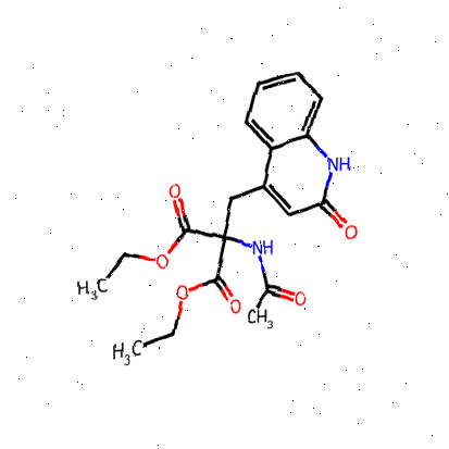 CCOC(=O)C(Cc1cc(=O)[nH]c2ccccc12)(NC(C)=O)C(=O)OCC